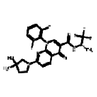 C[C@H](NC(=O)c1cn(-c2c(F)cccc2F)c2nc(N3CCC(C)(O)C3)ccc2c1=O)C(F)(F)F